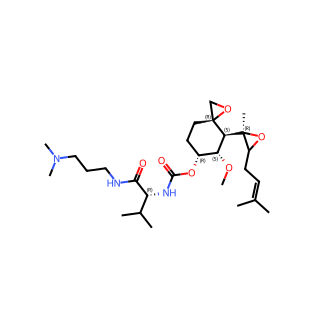 CO[C@@H]1[C@H](OC(=O)N[C@@H](C(=O)NCCCN(C)C)C(C)C)CC[C@]2(CO2)[C@H]1[C@@]1(C)OC1CC=C(C)C